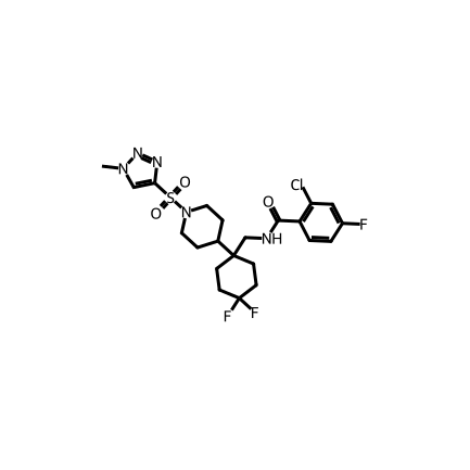 Cn1cc(S(=O)(=O)N2CCC(C3(CNC(=O)c4ccc(F)cc4Cl)CCC(F)(F)CC3)CC2)nn1